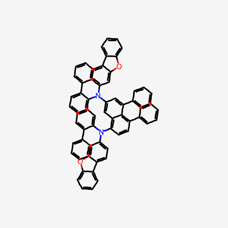 c1ccc(-c2ccccc2N(c2ccc3c(c2)oc2ccccc23)c2cc(-c3ccccc3)c3c(-c4ccccc4)ccc(N(c4ccc5c(c4)oc4ccccc45)c4ccccc4-c4ccccc4)c3c2)cc1